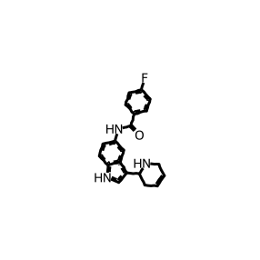 O=C(Nc1ccc2[nH]cc(C3CC=CCN3)c2c1)c1ccc(F)cc1